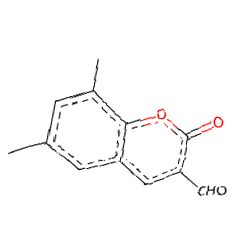 Cc1cc(C)c2oc(=O)c(C=O)cc2c1